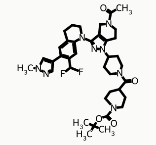 CC(=O)N1CCc2c(c(N3CCCc4cc(-c5cnn(C)c5)c(C(F)F)cc43)nn2C2CCN(C(=O)C3CCN(C(=O)OC(C)(C)C)CC3)CC2)C1